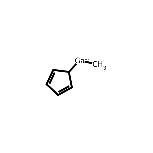 [CH3][Ga-][CH]1C=CC=C1